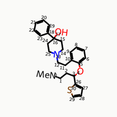 CNCCC(Oc1ccccc1CCN1CCC(O)(c2ccccc2)CC1)c1cccs1